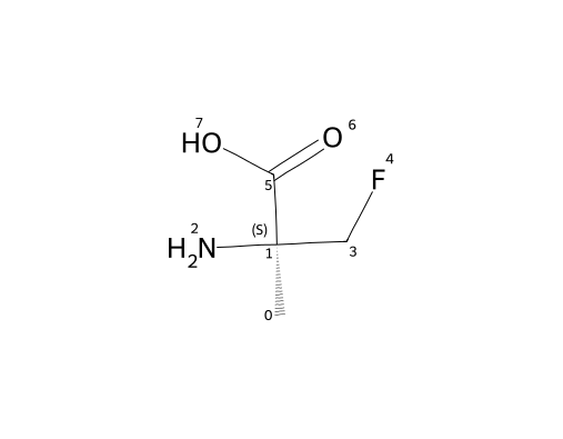 C[C@@](N)(CF)C(=O)O